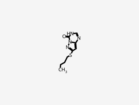 CCCCSc1cc2nc[nH]c(=O)n2n1